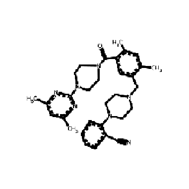 Cc1cc(C)nc(N2CCN(C(=O)c3cc(CN4CCN(c5ccccc5C#N)CC4)c(C)cc3C)CC2)n1